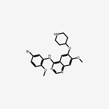 COc1ccc(Br)cc1Nc1ncnc2cc(OC)c(OC3CCNCC3)cc12